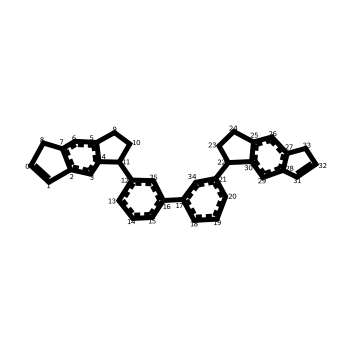 C1=Cc2cc3c(cc2C1)CCC3c1cccc(-c2cccc(C3CCc4cc5c(cc43)C=CC5)c2)c1